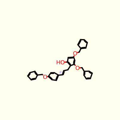 Oc1cc(OCc2ccccc2)cc(OCc2ccccc2)c1C/C=C/c1ccc(OCc2ccccc2)cc1